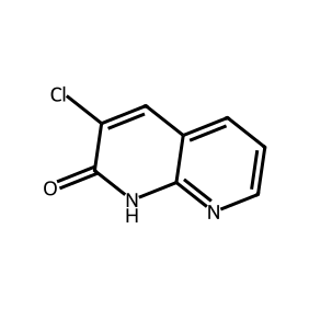 O=c1[nH]c2ncccc2cc1Cl